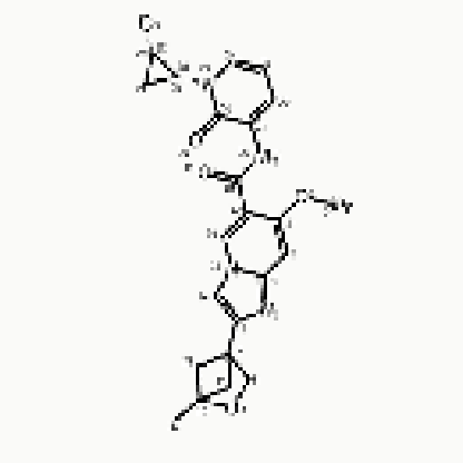 CC(C)Oc1cc2nc(C34COC(C)(C3)C4)cn2cc1C(=O)Nc1cccn([C@@H]2C[C@@H]2F)c1=O